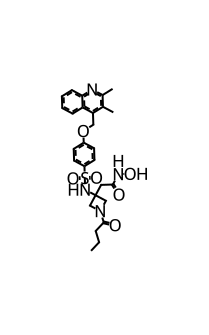 CCCC(=O)N1CC(CC(=O)NO)(NS(=O)(=O)c2ccc(OCc3c(C)c(C)nc4ccccc34)cc2)C1